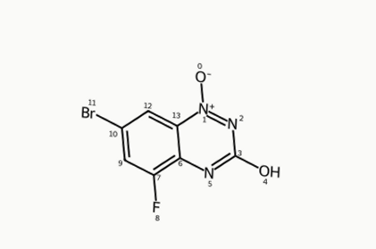 [O-][n+]1nc(O)nc2c(F)cc(Br)cc21